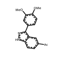 COc1ccc(-c2n[nH]c3ccc(C(C)=O)cc23)cc1OC